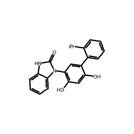 CC(C)c1ccccc1-c1cc(-n2c(=O)[nH]c3ccccc32)c(O)cc1O